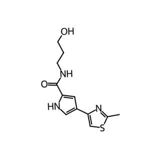 Cc1nc(-c2c[nH]c(C(=O)NCCCO)c2)cs1